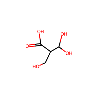 O=C(O)C(CO)C(O)O